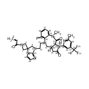 C=CC(=O)N1CC2(C1)CN(CCN1C[C@H]3CC(=O)N(c4cc(C(F)(F)F)cc(C)n4)[C@@H]3C(=O)N(C)c3cccc(F)c31)c1nccn12